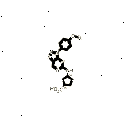 CCOc1ccc(-n2nnc3cnc(N[C@@H]4CC[C@@H](C(=O)O)C4)nc32)cc1